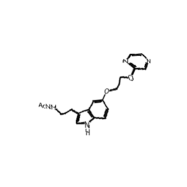 CC(=O)NCCc1c[nH]c2ccc(OCCOc3cnccn3)cc12